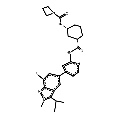 CC(C)c1c2cc(-c3ccnc(NC(=O)[C@H]4CCC[C@@H](NC(=O)N5CCC5)C4)c3)cc(F)c2nn1C